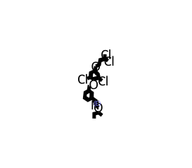 CCC(C)O/N=C/c1cccc(COc2c(Cl)cc(OCC=C(Cl)Cl)cc2Cl)c1